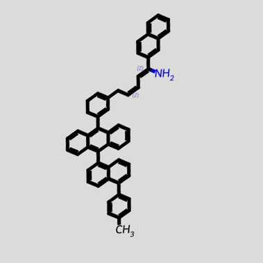 Cc1ccc(-c2cccc3c(-c4c5ccccc5c(C5=CC(C/C=C\C=C(/N)c6ccc7ccccc7c6)=CCC5)c5ccccc45)cccc23)cc1